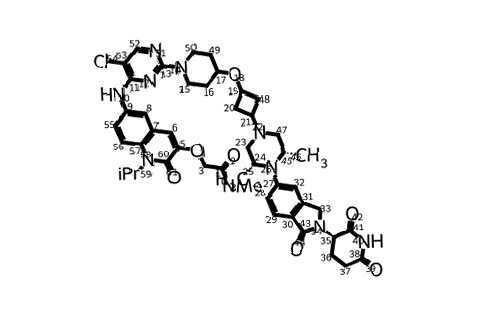 CNC(=O)COc1cc2cc(Nc3nc(N4CCC(OC5CC(N6C[C@@H](C)N(c7ccc8c(c7)CN([C@@H]7CCC(=O)NC7=O)C8=O)[C@@H](C)C6)C5)CC4)ncc3Cl)ccc2n(C(C)C)c1=O